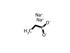 CCP([O-])[O-].[Na+].[Na+]